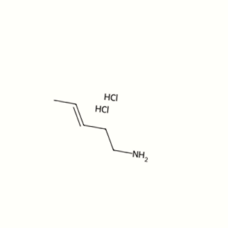 CC=CCCN.Cl.Cl